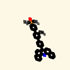 CC1C=C(c2ccc(-c3c4ccc5ccccc5c4nc4c3ccc3ccccc34)cc2)C=CC1c1ccc(P(C)(C)=O)cc1